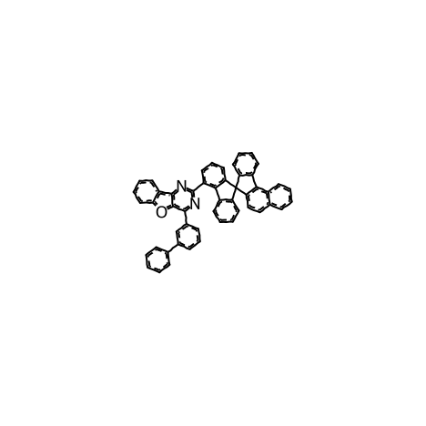 c1ccc(-c2cccc(-c3nc(-c4cccc5c4-c4ccccc4C54c5ccccc5-c5c4ccc4ccccc54)nc4c3oc3ccccc34)c2)cc1